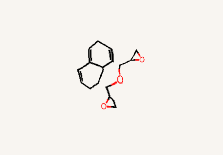 C(OCC1CO1)C1CO1.C1=CC2CCC=CC2=CC1